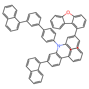 c1ccc(-c2ccc(-c3cccc4ccccc34)cc2N(c2ccc(-c3cccc(-c4cccc5ccccc45)c3)cc2)c2cccc(-c3cccc4oc5ccccc5c34)c2)cc1